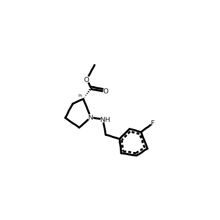 COC(=O)[C@H]1CCCN1NCc1cccc(F)c1